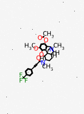 COc1cc(OC(C)=O)c2c3c1O[C@H]1[C@H](N(C)C(=O)C#Cc4ccc(C(F)(F)F)cc4)CC[C@H]4[C@@H](C2)N(C)CC[C@@]341